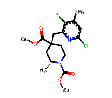 CSc1cc(Cl)nc(C[C@@]2(C(=O)OC(C)(C)C)CCN(C(=O)OC(C)(C)C)[C@H](C)C2)c1F